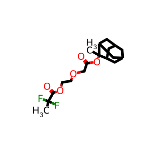 CC(F)(F)C(=O)OCCOCC(=O)OC1(C)C2CC3CC(C2)CC1C3